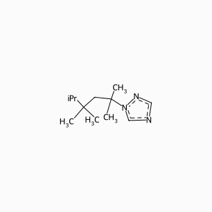 CC(C)C(C)(C)CC(C)(C)n1cncn1